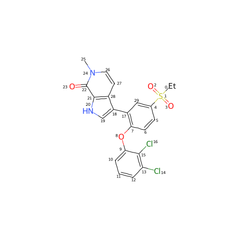 CCS(=O)(=O)c1ccc(Oc2cccc(Cl)c2Cl)c(-c2c[nH]c3c(=O)n(C)ccc23)c1